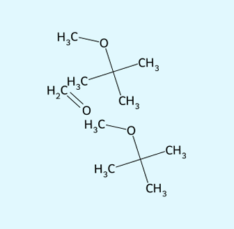 C=O.COC(C)(C)C.COC(C)(C)C